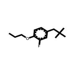 CCCOc1ccc(CC(C)(C)C)cc1F